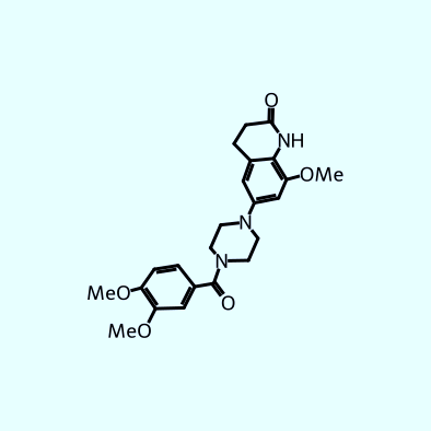 COc1ccc(C(=O)N2CCN(c3cc4c(c(OC)c3)NC(=O)CC4)CC2)cc1OC